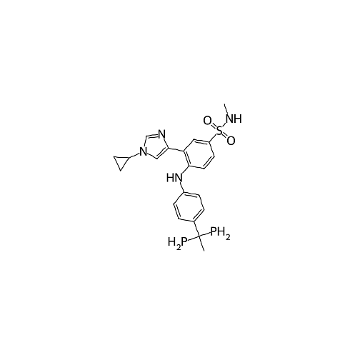 CNS(=O)(=O)c1ccc(Nc2ccc(C(C)(P)P)cc2)c(-c2cn(C3CC3)cn2)c1